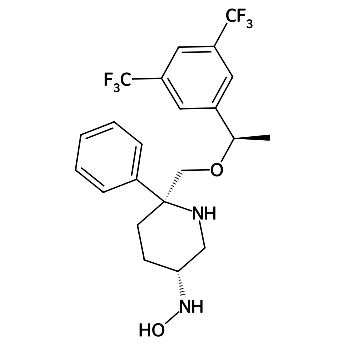 C[C@@H](OC[C@@]1(c2ccccc2)CC[C@@H](NO)CN1)c1cc(C(F)(F)F)cc(C(F)(F)F)c1